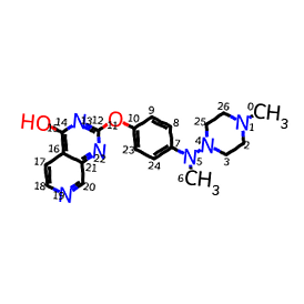 CN1CCN(N(C)c2ccc(Oc3nc(O)c4ccncc4n3)cc2)CC1